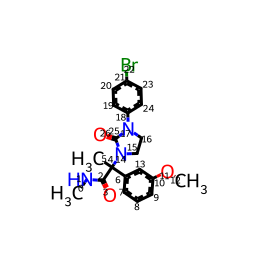 CNC(=O)C(C)(c1cccc(OC)c1)N1CCN(c2ccc(Br)cc2)C1=O